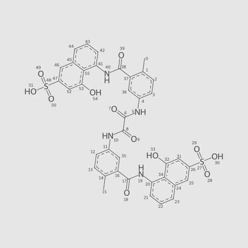 Cc1ccc(NC(=O)C(=O)Nc2ccc(C)c(C(=O)Nc3cccc4cc(S(=O)(=O)O)cc(O)c34)c2)cc1C(=O)Nc1cccc2cc(S(=O)(=O)O)cc(O)c12